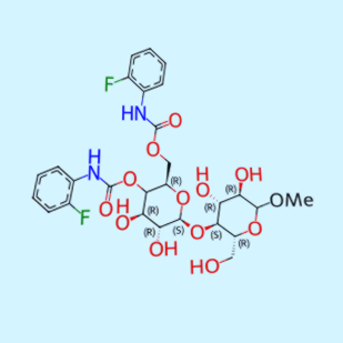 COC1O[C@H](CO)[C@@H](O[C@@H]2O[C@H](COC(=O)Nc3ccccc3F)C(OC(=O)Nc3ccccc3F)[C@H](O)[C@H]2O)[C@H](O)[C@H]1O